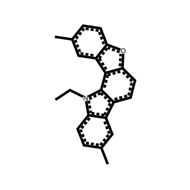 CCn1c2ccc(C)cc2c2ccc3oc4ccc(C)cc4c3c21